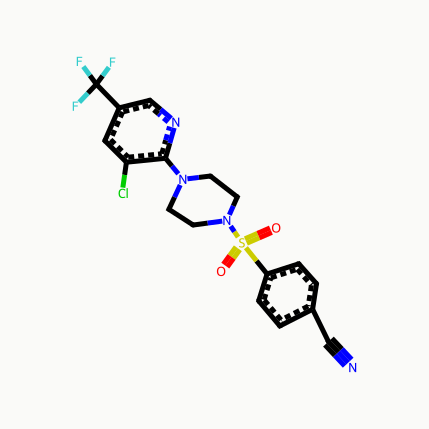 N#Cc1ccc(S(=O)(=O)N2CCN(c3ncc(C(F)(F)F)cc3Cl)CC2)cc1